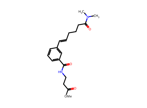 COC(=O)CCNC(=O)c1cccc(C=CCCCC(=O)N(C)C)c1